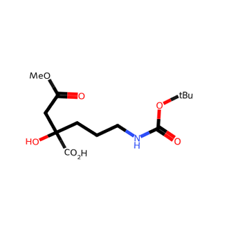 COC(=O)CC(O)(CCCNC(=O)OC(C)(C)C)C(=O)O